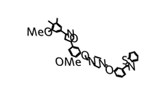 COc1ccc(C2CC(c3cc(C)c(C)c(OC)c3)=NO2)cc1OCN1CCN(COc2cccc(-c3nc4ccccc4s3)c2)CC1